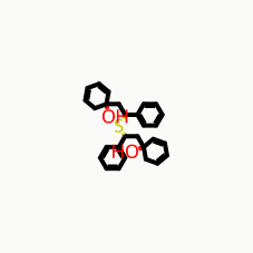 OC1(CC(SC(CC2(O)C=CC=CC2)c2ccccc2)c2ccccc2)C=CC=CC1